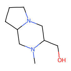 CN1CC2CCCN2CC1CO